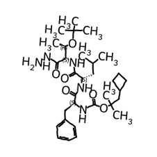 CC(C)C[C@H](NC(=O)[C@H](Cc1ccccc1)NC(=O)OC(C)(C)CC1CCC1)C(=O)N[C@H](C(=O)NN)[C@@H](C)OC(C)(C)C